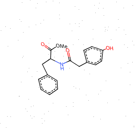 COC(=O)C(Cc1ccccc1)NC(=O)Cc1ccc(O)cc1